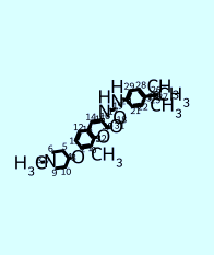 Cc1c(OC2CCN(C)CC2)ccc2cc(NC(=O)Nc3ccc(C(C)(C)C)cc3)c(=O)oc12